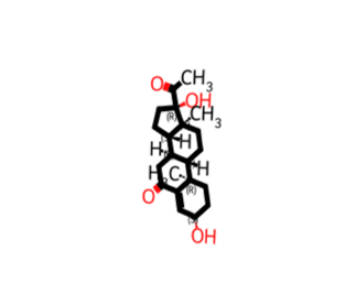 CC(=O)[C@@]1(O)CC[C@H]2[C@@H]3CC(=O)C4=C[C@@H](O)CC[C@]4(C)[C@H]3CC[C@@]21C